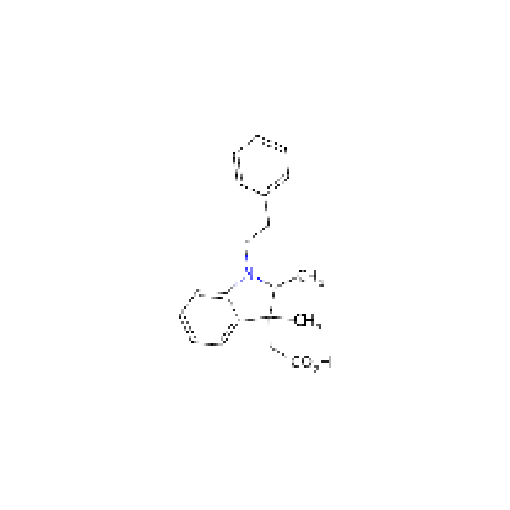 CC1N(CCc2ccccc2)c2ccccc2C1(C)CC(=O)O